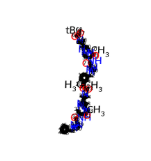 CN1C(=O)[C@@H](NC(=O)c2ncn(Cc3cccc(C(C)(C)OC(=O)N4CC(c5cc6n(n5)CC[C@@H](NC(=O)c5ncn(Cc7ccccc7)n5)C(=O)N6C)C4)c3)n2)CCn2nc(C3CN(C(=O)OC(C)(C)C)C3)cc21